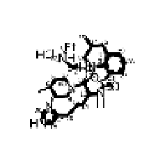 CCNC(=O)[C@H]1C[C@H](C)CCN1C(=O)C(CCCc1c[nH]cn1)NS(=O)(=O)c1cccc2c1NCC(C)C2.Cl